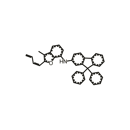 C=C/C=C\c1oc2c(Nc3ccc4c(c3)C(c3ccccc3)(c3ccccc3)c3ccccc3-4)cccc2c1C